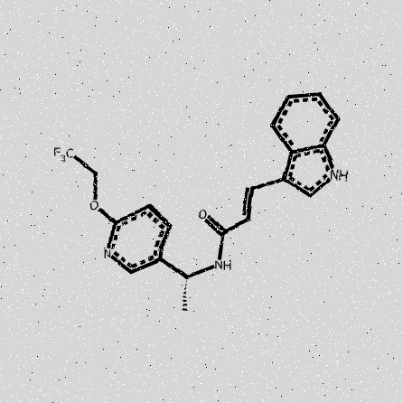 C[C@@H](NC(=O)C=Cc1c[nH]c2ccccc12)c1ccc(OCC(F)(F)F)nc1